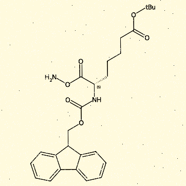 CC(C)(C)OC(=O)CCCC[C@H](NC(=O)OCC1c2ccccc2-c2ccccc21)C(=O)ON